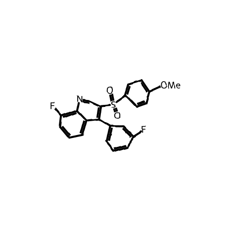 COc1ccc(S(=O)(=O)c2cnc3c(F)cccc3c2-c2cccc(F)c2)cc1